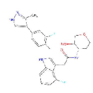 Cc1n[nH]cc1-c1ccc(Cc2[nH]c3cccc(F)c3c2CC(=O)N[C@H]2CCOC[C@@H]2O)c(F)c1